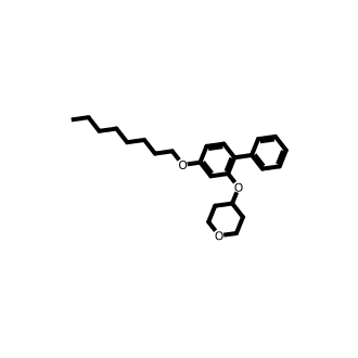 CCCCCCCCOc1ccc(-c2ccccc2)c(OC2CCOCC2)c1